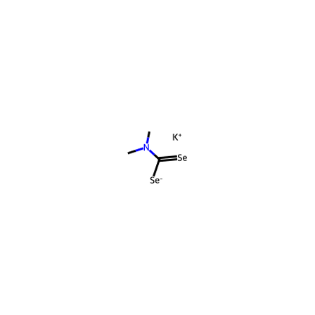 CN(C)C(=[Se])[Se-].[K+]